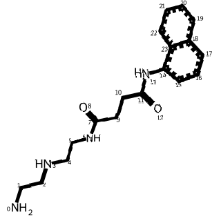 NCCNCCNC(=O)CCC(=O)Nc1cccc2ccccc12